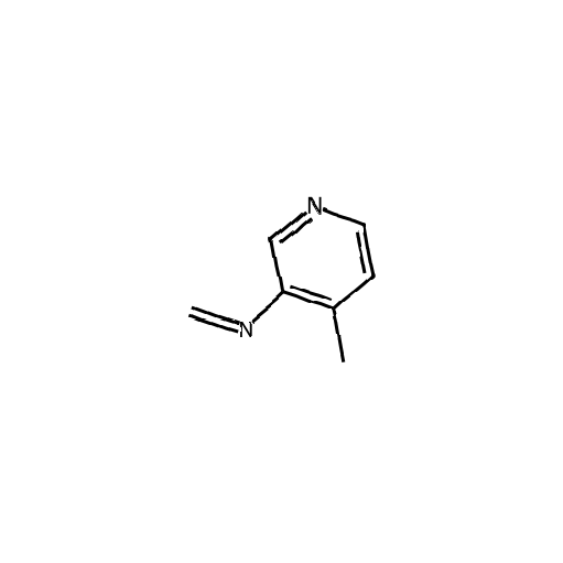 C=Nc1cnccc1C